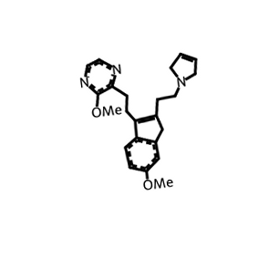 COc1ccc2c(c1)CC(CCN1CC=CC1)=C2CCc1nccnc1OC